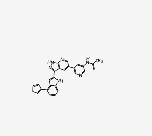 C=C(Nc1cncc(-c2cnc3[nH]nc(-c4cc5c(C6=CCC=C6)cccc5[nH]4)c3c2)c1)C(C)(C)C